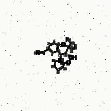 N#Cc1ccc2c(c1)[C@H](n1ccccc1=O)[C@@H](O)C(CF)(CF)O2